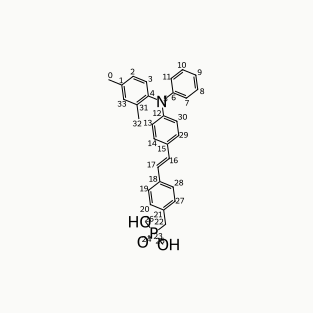 Cc1ccc(N(c2ccccc2)c2ccc(C=Cc3ccc(CP(=O)(O)O)cc3)cc2)c(C)c1